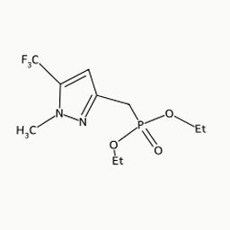 CCOP(=O)(Cc1cc(C(F)(F)F)n(C)n1)OCC